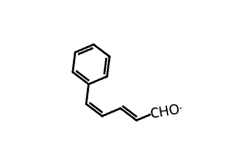 O=[C]C=C/C=C\c1ccccc1